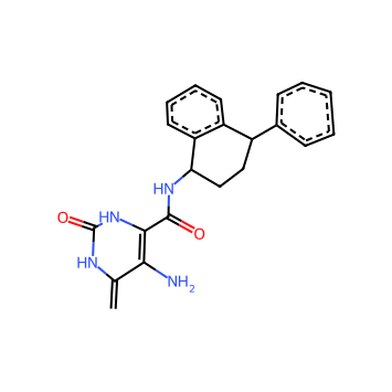 C=C1NC(=O)NC(C(=O)NC2CCC(c3ccccc3)c3ccccc32)=C1N